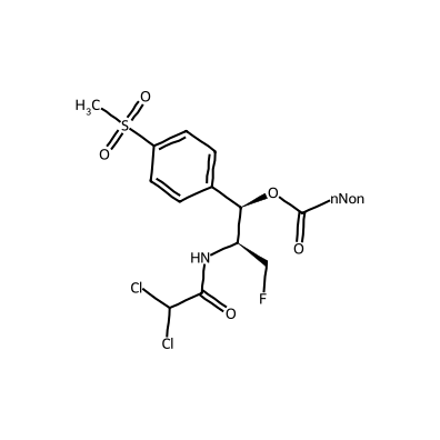 CCCCCCCCCC(=O)O[C@H](c1ccc(S(C)(=O)=O)cc1)[C@@H](CF)NC(=O)C(Cl)Cl